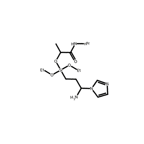 CCCNC(=O)C(C)O[Si](CCC(N)n1ccnc1)(OCC)OCC